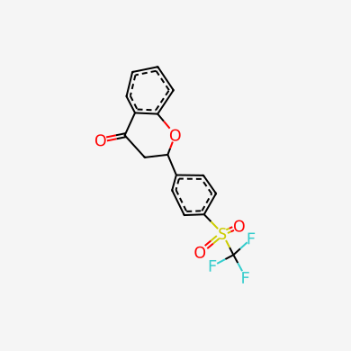 O=C1CC(c2ccc(S(=O)(=O)C(F)(F)F)cc2)Oc2ccccc21